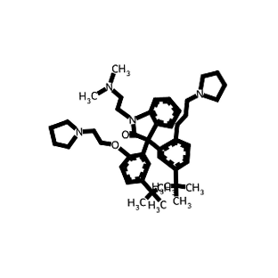 CN(C)CCN1C(=O)C(c2cc(C(C)(C)C)ccc2CCCN2CCCC2)(c2cc(C(C)(C)C)ccc2OCCN2CCCC2)c2ccccc21